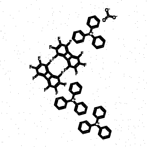 Fc1c(F)c(F)c2c(c1F)-c1c(F)c(F)c(F)c(F)c1-2.Fc1c(F)c(F)c2c(c1F)-c1c(F)c(F)c(F)c(F)c1-2.[O-]B([O-])[O-].c1ccc([C+](c2ccccc2)c2ccccc2)cc1.c1ccc([C+](c2ccccc2)c2ccccc2)cc1.c1ccc([C+](c2ccccc2)c2ccccc2)cc1